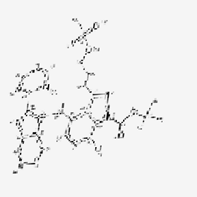 CC(C)(C)OC(=O)n1nc(CCCOS(C)(=O)=O)c2c(Nc3c(-c4ncccn4)oc4cnccc34)ccc(Cl)c21